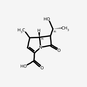 CC1C=C(C(=O)O)N2C(=O)C([C@@H](C)O)[C@@H]12